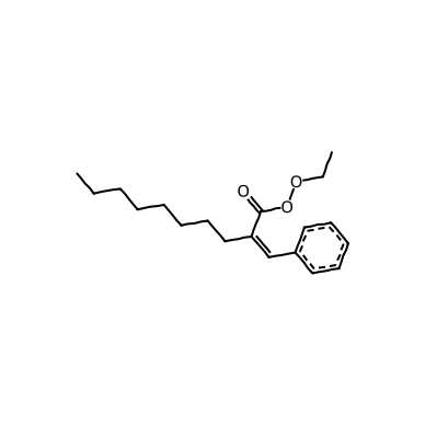 CCCCCCCCC(=Cc1ccccc1)C(=O)OOCC